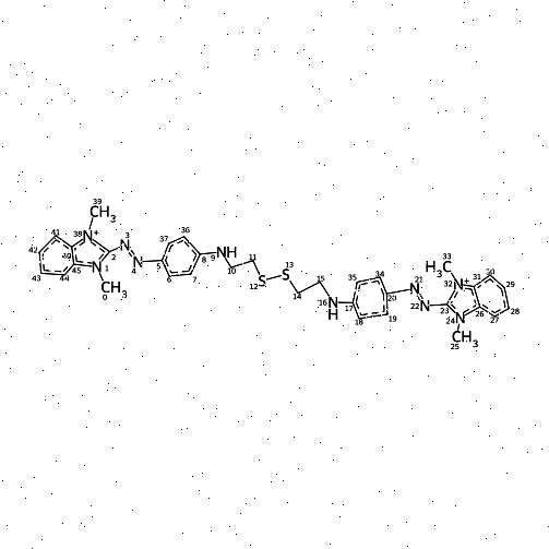 Cn1c(N=Nc2ccc(NCCSSCCNc3ccc(N=Nc4n(C)c5ccccc5[n+]4C)cc3)cc2)[n+](C)c2ccccc21